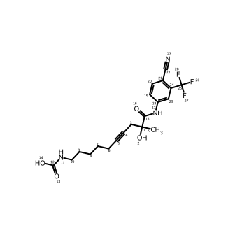 CC(O)(CC#CCCCCCNC(=O)O)C(=O)Nc1ccc(C#N)c(C(F)(F)F)c1